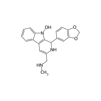 CNCC1=Cc2c(n(O)c3ccccc23)C(c2ccc3c(c2)OCO3)N1